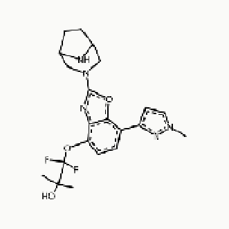 Cn1ccc(-c2ccc(OC(F)(F)C(C)(C)O)c3nc(N4CC5CCC(C4)N5)oc23)n1